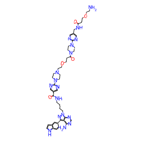 NCCOCCC(=O)NCc1cnc(N2CCN(C(=O)CCOCCN3CCN(c4ncc(C(=O)NCCCCn5nc(-c6ccc7[nH]ccc7c6)c6c(N)ncnc65)cn4)CC3)CC2)nc1